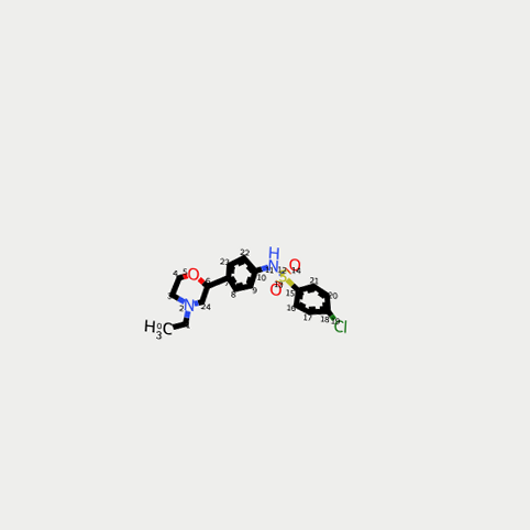 CCN1CCOC(c2ccc(NS(=O)(=O)c3ccc(Cl)cc3)cc2)C1